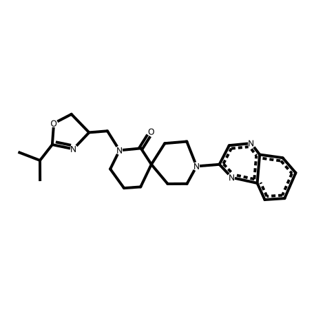 CC(C)C1=NC(CN2CCCC3(CCN(c4cnc5ccccc5n4)CC3)C2=O)CO1